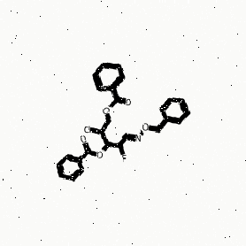 O=C(OCC(Cl)C(OC(=O)c1ccccc1)C(F)C=NOCc1ccccc1)c1ccccc1